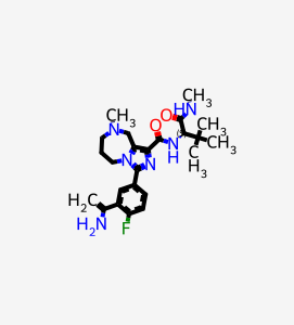 C=C(N)c1cc(-c2nc(C(=O)N[C@H](C(=O)NC)C(C)(C)C)c3n2CCCN(C)C3)ccc1F